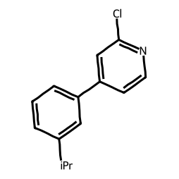 CC(C)c1cccc(-c2ccnc(Cl)c2)c1